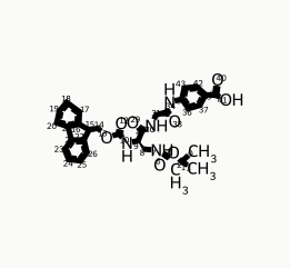 CC(C)(C)OC(=O)NC[C@@H](NC(=O)OCC1c2ccccc2-c2ccccc21)C(=O)NCC(=O)Nc1ccc(C(=O)O)cc1